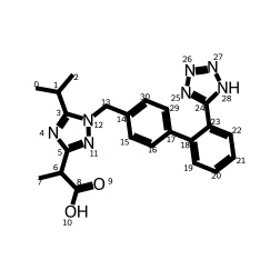 CC(C)c1nc(C(C)C(=O)O)nn1Cc1ccc(-c2ccccc2-c2nnn[nH]2)cc1